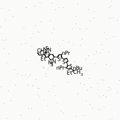 C/C=C\C(C)(CC)c1cc2c(cc(-c3cc(CCC)c(-c4ccc(-c5sc(C(C)(CC)CCCC)cc5CCC)s4)s3)c3nsnc32)c2nsnc12